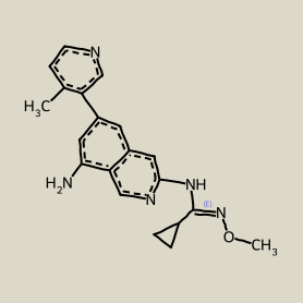 CO/N=C(/Nc1cc2cc(-c3cnccc3C)cc(N)c2cn1)C1CC1